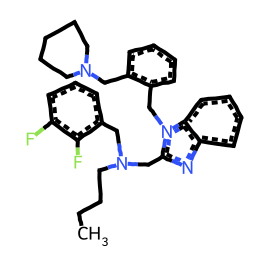 CCCCN(Cc1cccc(F)c1F)Cc1nc2ccccc2n1Cc1ccccc1CN1CCCCC1